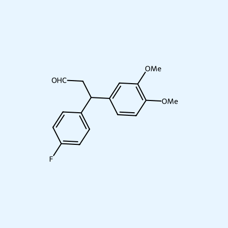 COc1ccc(C(CC=O)c2ccc(F)cc2)cc1OC